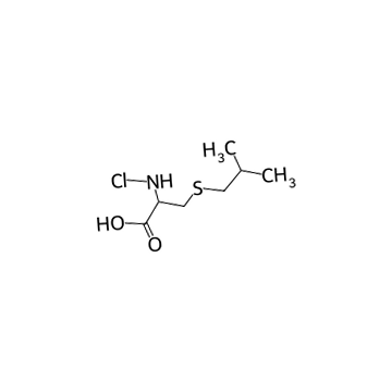 CC(C)CSCC(NCl)C(=O)O